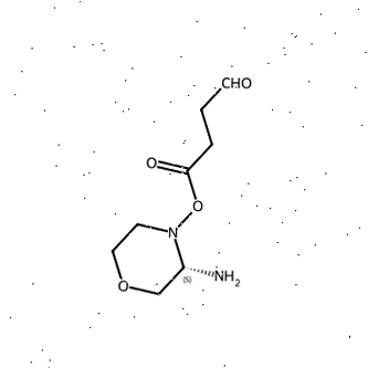 N[C@@H]1COCCN1OC(=O)CCC=O